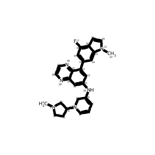 CN1CCC(N2C=CC=C(Nc3cc(-c4cc(F)c5ccn(C)c5c4)c4nccnc4c3)C2)C1